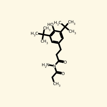 CCC(=O)N(N)C(=O)CCc1cc(C(C)(C)C)c(O)c(C(C)(C)C)c1